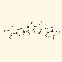 CN(C)C(=O)c1ccc(S(=O)(=O)c2ccc(NC(=O)C(C)(O)C(F)(F)F)c(Cl)c2F)cc1